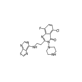 O=c1c2c(Cl)ccc(F)c2nc(CCNc2ncnc3scnc23)n1N1CCNCC1